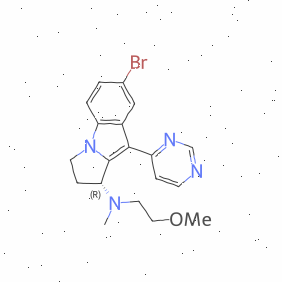 COCCN(C)[C@@H]1CCn2c1c(-c1ccncn1)c1cc(Br)ccc12